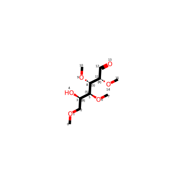 COC[C@@H](O)[C@H](OC)[C@H](OC)[C@H](C=O)OC